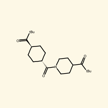 CC(C)(C)C(=O)C1CCN(C(=O)[C@H]2CC[C@H](C(=O)C(C)(C)C)CC2)CC1